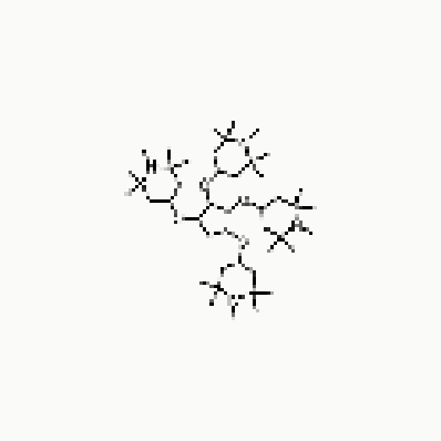 CN1C(C)(C)CC(OC2CC(OC3CC(C)(C)N(C)C(C)(C)C3)C(OC3CC(C)(C)N(C)C(C)(C)C3)C2OC2CC(C)(C)N(C)C(C)(C)C2)CC1(C)C